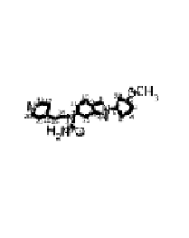 COc1cccc(-n2cc3ccc(N(CCc4ccncc4)C(N)=O)cc3n2)c1